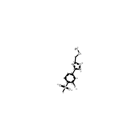 CC(C)OCc1nc(-c2ccc(S(C)(=O)=O)c(F)c2)no1